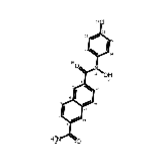 NC(=O)c1ccc2cc(C(=O)N(O)c3ccc(Cl)cc3)ccc2c1